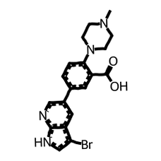 CN1CCN(c2ccc(-c3cnc4[nH]cc(Br)c4c3)cc2C(=O)O)CC1